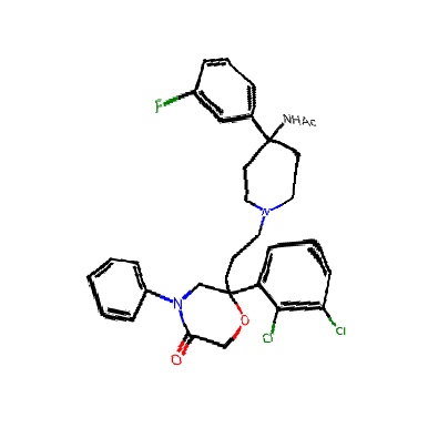 CC(=O)NC1(c2cccc(F)c2)CCN(CCC2(c3cccc(Cl)c3Cl)CN(c3ccccc3)C(=O)CO2)CC1